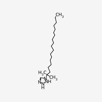 CCCCCCCCCCCCCCCCCC(C)(C)N1C=NNN1